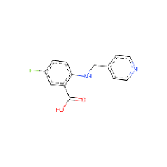 O=C(O)c1cc(F)ccc1NCc1ccncc1